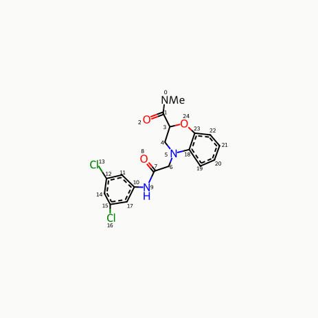 CNC(=O)C1CN(CC(=O)Nc2cc(Cl)cc(Cl)c2)c2ccccc2O1